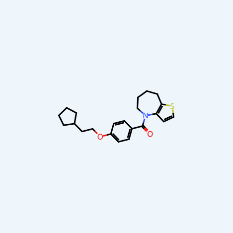 O=C(c1ccc(OCCC2CCCC2)cc1)N1CCCCc2sccc21